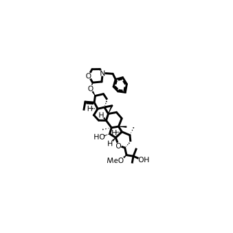 C/C=C1/[C@@H](O[C@H]2CN(Cc3ccccc3)CCO2)CC[C@]23C[C@]24CC[C@]2(C)[C@@H]5[C@H](O[C@@H]([C@H](OC)C(C)(C)O)C[C@H]5C)[C@H](O)[C@@]2(C)[C@@H]4CC[C@@H]13